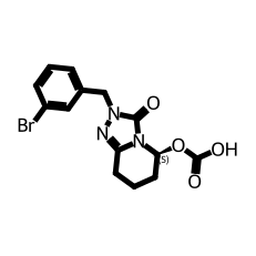 O=C(O)O[C@H]1CCCc2nn(Cc3cccc(Br)c3)c(=O)n21